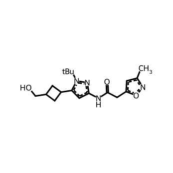 Cc1cc(CC(=O)Nc2cc(C3CC(CO)C3)n(C(C)(C)C)n2)on1